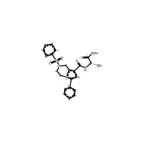 CNC(=O)[C@@H](NC(=O)c1nc(-c2ccccc2)n2c1CN(S(=O)(=O)c1ccccc1)CC2)C(C)(C)C